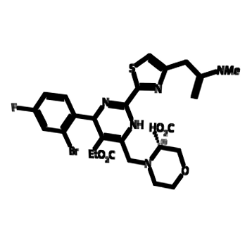 C=C(Cc1csc(C2=NC(c3ccc(F)cc3Br)C(C(=O)OCC)=C(CN3CCOC[C@H]3C(=O)O)N2)n1)NC